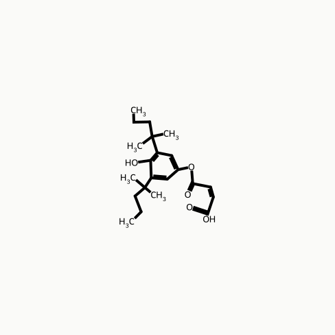 CCCC(C)(C)c1cc(OC(=O)/C=C\C(=O)O)cc(C(C)(C)CCC)c1O